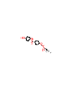 C=CC(=O)OCOc1ccc(C(=O)Oc2ccc(O)cc2)cc1